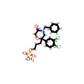 CS(=O)(=O)OCCCC1(c2ccc(Cl)c(Cl)c2)CN(Cc2ccccc2)C(=O)CO1